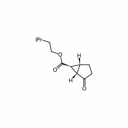 CC(C)CCOC(=O)[C@H]1[C@@H]2CCC(=O)[C@@H]21